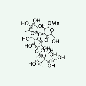 COC1OC(CO)[C@@H](O[C@@H]2OC(CO)[C@H](O)[C@H](O[C@]3(C(=O)O)C[C@@H](O)[C@@H](C)C([C@H](O)[C@H](O)CO)O3)C2O)[C@H](O[C@@H]2OC(C)[C@@H](O)[C@H](O)C2O)C1C